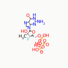 CC1(O)C(F)[C@@H](COP(=O)(O)OP(=O)(O)OP(=O)(O)O)O[C@H]1n1cnc2c(=O)[nH]c(N)nc21